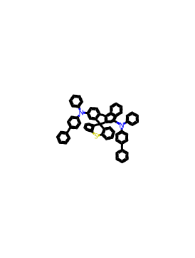 c1ccc(-c2ccc(N(c3ccccc3)c3ccc4c(c3)C3(c5ccccc5Sc5ccccc53)c3cc(N(c5ccccc5)c5ccc(-c6ccccc6)cc5)c5ccccc5c3-4)cc2)cc1